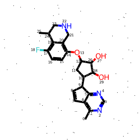 Cc1ncnc2c1C=CC2C1CC(Oc2ccc(F)c3c2CNCC3C)C(O)C1O